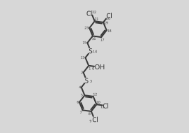 OC(CSCc1ccc(Cl)c(Cl)c1)CSCc1ccc(Cl)c(Cl)c1